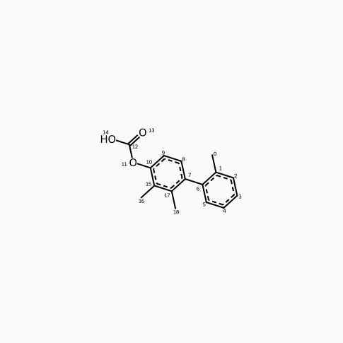 Cc1ccccc1-c1ccc(OC(=O)O)c(C)c1C